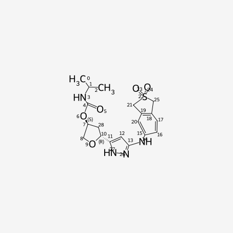 CC(C)NC(=O)O[C@@H]1CO[C@@H](c2cc(Nc3ccc4c(c3)CS(=O)(=O)C4)n[nH]2)C1